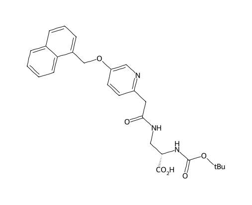 CC(C)(C)OC(=O)N[C@@H](CNC(=O)Cc1ccc(OCc2cccc3ccccc23)cn1)C(=O)O